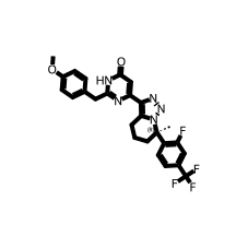 COc1ccc(Cc2nc(-c3nnn4c3CCC[C@]4(C)c3ccc(C(F)(F)F)cc3F)cc(=O)[nH]2)cc1